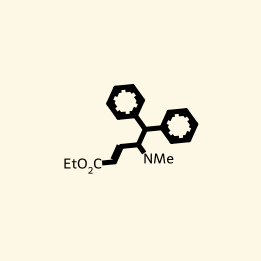 CCOC(=O)C=CC(NC)C(c1ccccc1)c1ccccc1